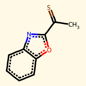 CC(=S)c1nc2ccccc2o1